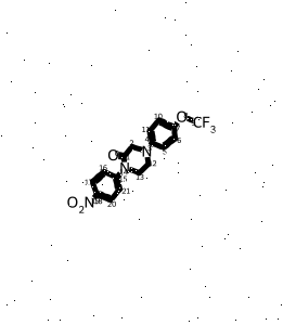 O=C1CN(c2ccc(OC(F)(F)F)cc2)CCN1c1ccc([N+](=O)[O-])cc1